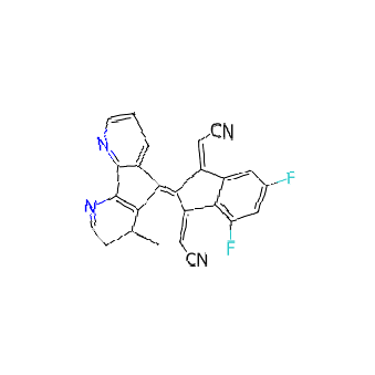 CC1CC=NC2=C1/C(=C1C(=C\C#N)\c3c(F)cc(F)cc3C\1=C/C#N)c1cccnc12